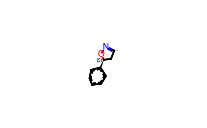 [C]1=NO[C@H](c2ccccc2)C1